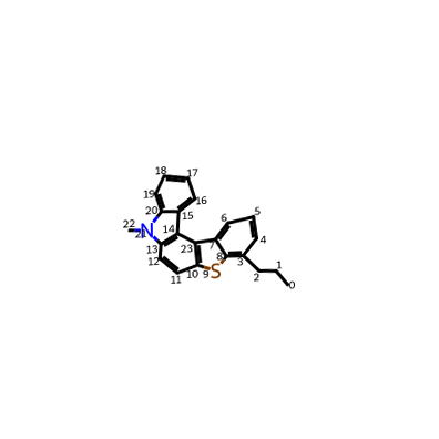 CCCc1cccc2c1sc1ccc3c(c4ccccc4n3C)c12